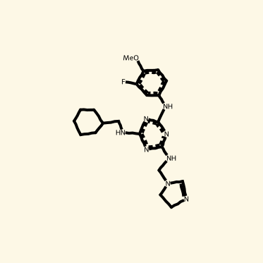 COc1ccc(Nc2nc(NCC3CCCCC3)nc(NCN3C=NCC3)n2)cc1F